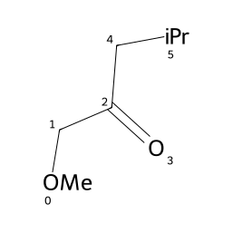 COCC(=O)CC(C)C